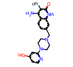 CCCc1c(N)c2ccc(CN3CCN(c4cc(O)ccn4)CC3)cc2[nH]c1=O